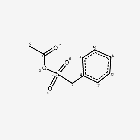 CC(=O)OS(=O)(=O)Cc1ccccc1